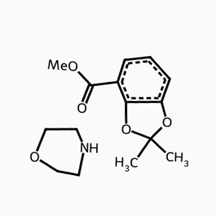 C1COCCN1.COC(=O)c1cccc2c1OC(C)(C)O2